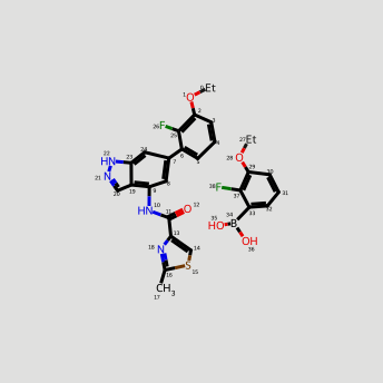 CCOc1cccc(-c2cc(NC(=O)c3csc(C)n3)c3cn[nH]c3c2)c1F.CCOc1cccc(B(O)O)c1F